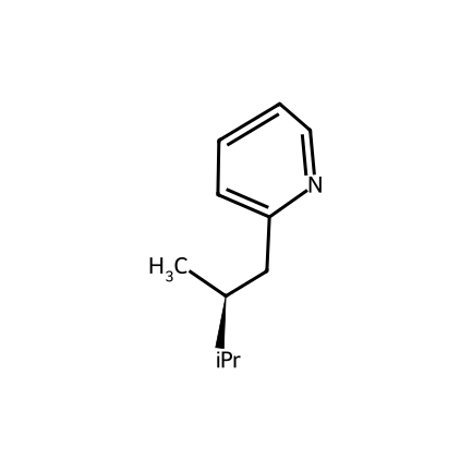 CC(C)[C@@H](C)Cc1ccccn1